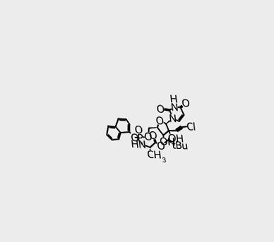 C[C@H](N[P@@](=O)(OC[C@H]1O[C@@H](n2ccc(=O)[nH]c2=O)C(O)(C#CCl)C1O)Oc1cccc2ccccc12)C(=O)OCC(C)(C)C